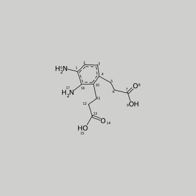 Nc1ccc(CCC(=O)O)c(CCC(=O)O)c1N